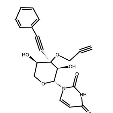 C#CCO[C@]1(C#Cc2ccccc2)[C@H](O)CO[C@@H](n2ccc(=O)[nH]c2=O)[C@@H]1O